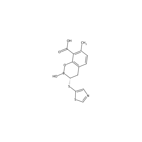 Cc1ccc2c(c1C(=O)O)OB(O)[C@@H](Sc1cncs1)C2